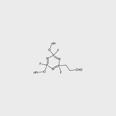 CCCOP1(F)=NP(F)(CCC=O)=NP(F)(OCCC)=N1